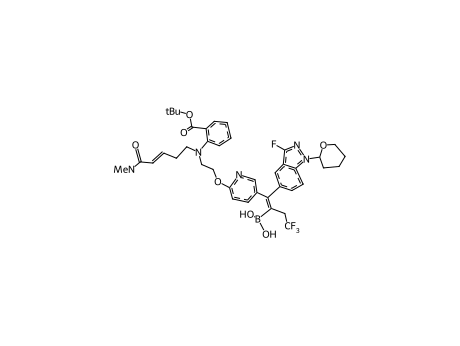 CNC(=O)/C=C/CCN(CCOc1ccc(/C(=C(/CC(F)(F)F)B(O)O)c2ccc3c(c2)c(F)nn3C2CCCCO2)cn1)c1ccccc1C(=O)OC(C)(C)C